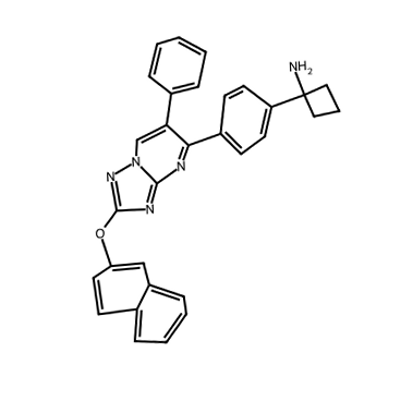 NC1(c2ccc(-c3nc4nc(Oc5ccc6ccccc6c5)nn4cc3-c3ccccc3)cc2)CCC1